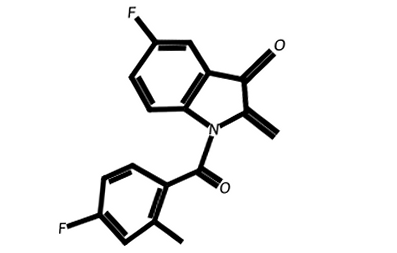 C=C1C(=O)c2cc(F)ccc2N1C(=O)c1ccc(F)cc1C